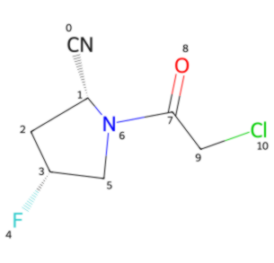 N#C[C@H]1C[C@@H](F)CN1C(=O)CCl